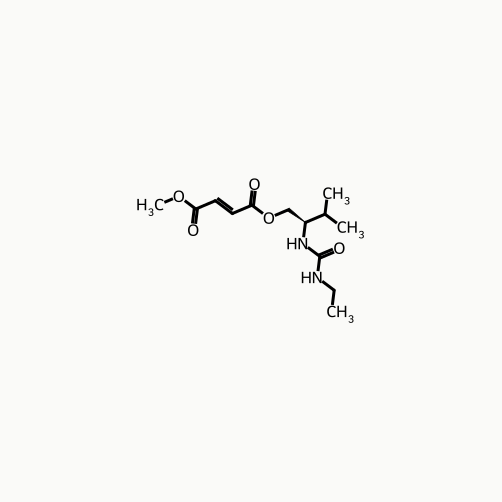 CCNC(=O)N[C@@H](COC(=O)/C=C/C(=O)OC)C(C)C